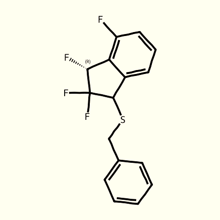 Fc1cccc2c1[C@@H](F)C(F)(F)C2SCc1ccccc1